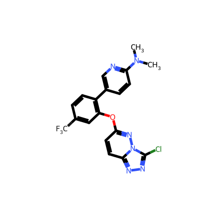 CN(C)c1ccc(-c2ccc(C(F)(F)F)cc2Oc2ccc3nnc(Cl)n3n2)cn1